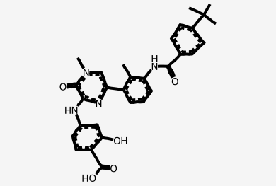 Cc1c(NC(=O)c2ccc(C(C)(C)C)cc2)cccc1-c1cn(C)c(=O)c(Nc2ccc(C(=O)O)c(O)c2)n1